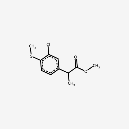 COC(=O)C(C)c1ccc(SC)c(Cl)c1